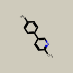 CCCc1ccc(-c2ccc(C)nc2)cc1